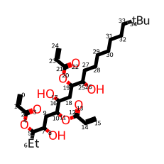 C=CC(=O)OC(CC)C(O)CC(OC(=O)C=C)C(O)CC(OC(=O)C=C)C(O)CCCCCCCC(C)(C)C